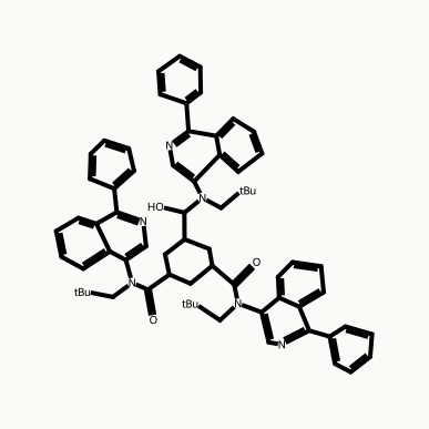 CC(C)(C)CN(C(=O)C1CC(C(=O)N(CC(C)(C)C)c2cnc(-c3ccccc3)c3ccccc23)CC(C(O)N(CC(C)(C)C)c2cnc(-c3ccccc3)c3ccccc23)C1)c1cnc(-c2ccccc2)c2ccccc12